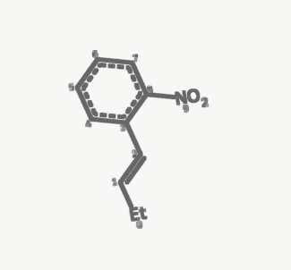 [CH2]C/C=C/c1ccccc1[N+](=O)[O-]